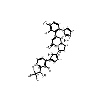 O=C1C=C(c2c(-n3cnnn3)ccc(Cl)c2F)C[C@H]2CC[C@@H](c3ncc(-c4ccnc([C@@H](O)C(F)(F)F)c4F)[nH]3)N12